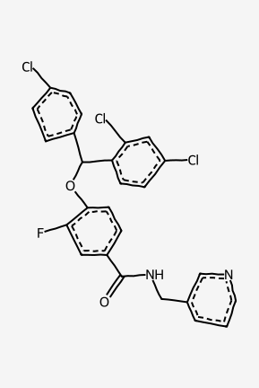 O=C(NCc1cccnc1)c1ccc(OC(c2ccc(Cl)cc2)c2ccc(Cl)cc2Cl)c(F)c1